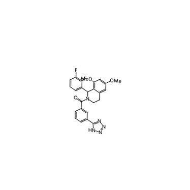 COc1cc2c(c(OC)c1)C(c1cccc(F)c1F)N(C(=O)c1cccc(-c3nnn[nH]3)c1)CC2